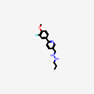 CCCNNCc1ccc(-c2ccc(OC)c(F)c2)nc1